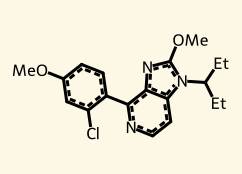 CCC(CC)n1c(OC)nc2c(-c3ccc(OC)cc3Cl)nccc21